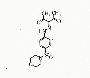 CC(=O)C(=NNc1ccc([S+]([O-])N2CCOCC2)cc1)C(C)=O